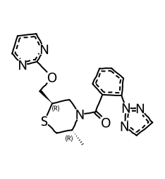 C[C@@H]1CS[C@@H](COc2ncccn2)CN1C(=O)c1ccccc1-n1nccn1